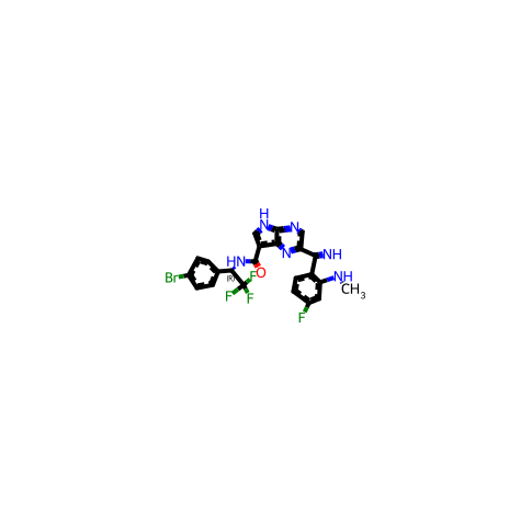 CNc1cc(F)ccc1C(=N)c1cnc2[nH]cc(C(=O)N[C@H](c3ccc(Br)cc3)C(F)(F)F)c2n1